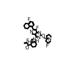 C=C(F)C(=O)C1CCC[C@@H]2[C@H]1CN2c1nc(OC[C@@]23CCCN2C[C@H](F)C3)nc2c(F)c(-c3ccc(F)c4c3CCCC4)ncc12